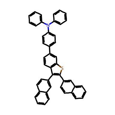 c1ccc(N(c2ccccc2)c2ccc(-c3ccc4c(-c5ccc6ccccc6c5)c(-c5ccc6ccccc6c5)sc4c3)cc2)cc1